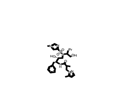 Cc1ccnn1CC(C)C(=O)N[C@@H](Cc1ccccc1)[C@H](O)CN(C(CO)C(C)C)S(=O)(=O)c1cn(C)cn1